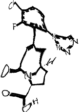 O=C(O)[C@@H]1CC[C@@H]2CC(c3c(-n4cnnn4)ccc(Cl)c3F)=CC(=O)N21